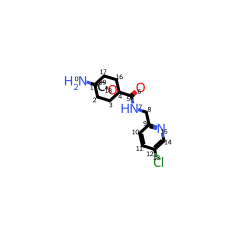 NC12CCC(C(=O)NCc3ccc(Cl)cn3)(CC1)OC2